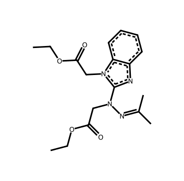 CCOC(=O)CN(N=C(C)C)c1nc2ccccc2n1CC(=O)OCC